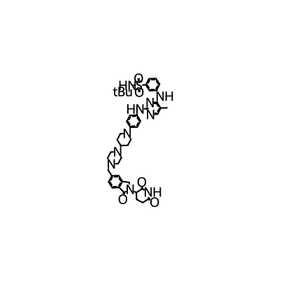 Cc1cnc(Nc2ccc(N3CCC(N4CCN(Cc5ccc6c(c5)CN(C5CCC(=O)NC5=O)C6=O)CC4)CC3)cc2)nc1Nc1cccc(S(=O)(=O)NC(C)(C)C)c1